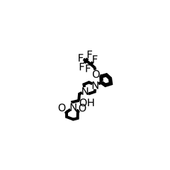 O=C1CCCC(=O)N1CC(O)CN1CCN(c2ccccc2OCC(F)(F)C(F)(F)F)CC1